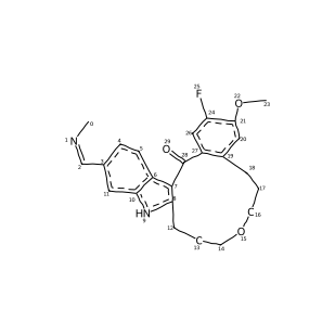 C/N=C\c1ccc2c3c([nH]c2c1)CCCOCCCc1cc(OC)c(F)cc1C3=O